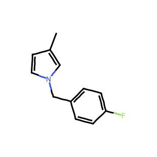 Cc1ccn(Cc2ccc(F)cc2)c1